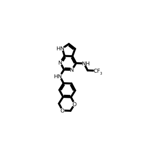 FC(F)(F)CNc1nc(Nc2ccc3c(c2)COCO3)nc2[nH]ccc12